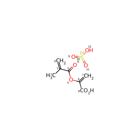 C=C(C)C(=O)OC(=C)C(=O)O.O=[SH](=O)O